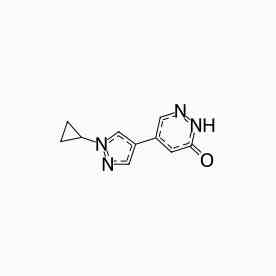 O=c1cc(-c2cnn(C3CC3)c2)cn[nH]1